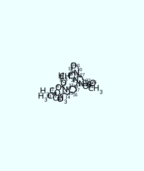 CCOC(=O)n1c(C(=O)OC(C)(C)C)cc2ccc(-c3nc(CS(C)(=O)=O)cc(N4CCOC[C@@H]4C)n3)cc21